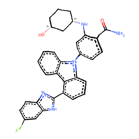 NC(=O)c1ccc(-n2c3ccccc3c3c(-c4nc5ccc(F)cc5[nH]4)cccc32)cc1N[C@H]1CCC[C@@H](O)C1